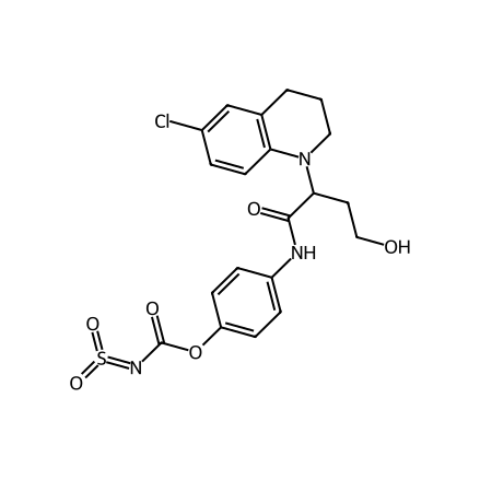 O=C(N=S(=O)=O)Oc1ccc(NC(=O)C(CCO)N2CCCc3cc(Cl)ccc32)cc1